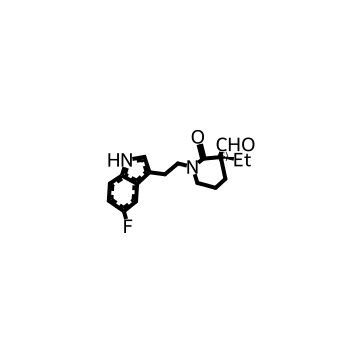 CC[C@@]1(C=O)CCCN(CCc2c[nH]c3ccc(F)cc23)C1=O